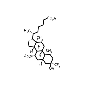 CC(=O)O[C@@H]1C[C@@H]2C[C@@](O)(C(F)(F)F)CC[C@]2(C)[C@H]2CC[C@]3(C)[C@@H]([C@H](C)CCCCC(=O)O)CC[C@H]3[C@H]12